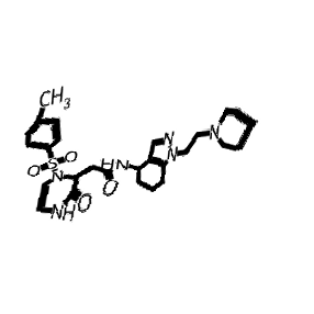 Cc1ccc(S(=O)(=O)N2C=CNC(=O)C2CC(=O)NC2CCCc3c2cnn3CCN2CCCCC2)cc1